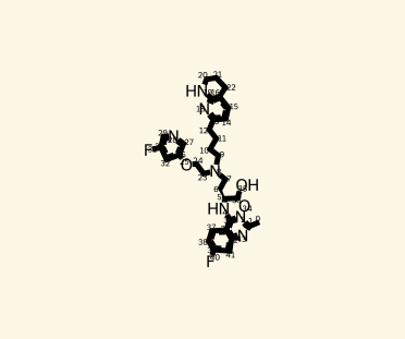 Cc1nc(N[C@@H](CCN(CCCCc2ccc3c(n2)NCCC3)CCOc2cncc(F)c2)C(=O)O)c2ccc(F)cc2n1